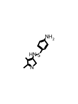 CC1=NCC(NSc2ccc(N)cc2)=C1C